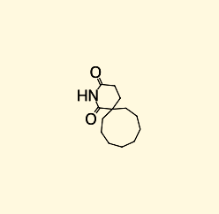 O=C1CCC2(CCCCCCCC2)C(=O)N1